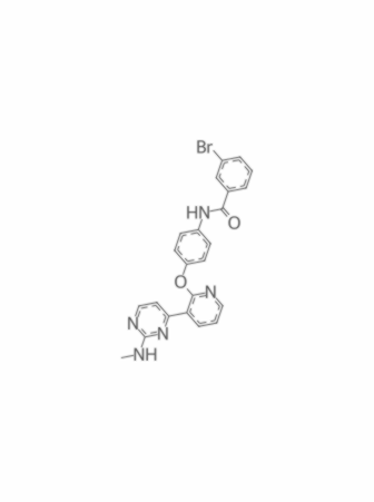 CNc1nccc(-c2cccnc2Oc2ccc(NC(=O)c3cccc(Br)c3)cc2)n1